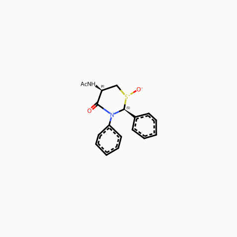 CC(=O)N[C@H]1C[S+]([O-])[C@@H](c2ccccc2)N(c2ccccc2)C1=O